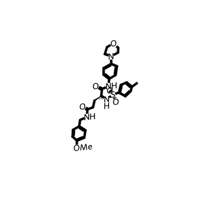 COc1ccc(CNC(=O)CC[C@H](NS(=O)(=O)c2ccc(C)cc2)C(=O)Nc2ccc(N3CCOCC3)cc2)cc1